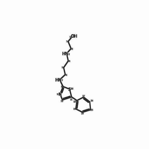 OCCNCCCNc1ncc(-c2ccccc2)s1